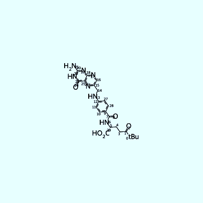 CC(C)(C)C(=O)CC[C@@H](NC(=O)c1ccc(NCc2cnc3nc(N)[nH]c(=O)c3n2)cc1)C(=O)O